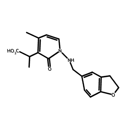 Cc1ccn(NCc2ccc3c(c2)CCO3)c(=O)c1C(C)C(=O)O